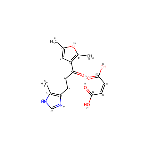 Cc1cc(C(=O)CCc2nc[nH]c2C)c(C)o1.O=C(O)/C=C\C(=O)O